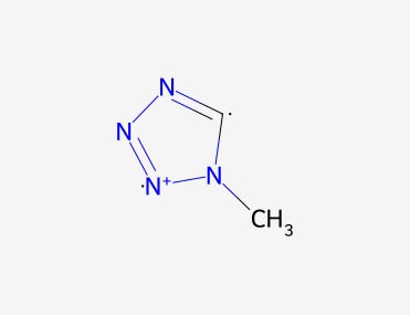 CN1[C]=NN=[N+]1